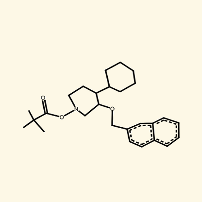 CC(C)(C)C(=O)ON1CCC(C2CCCCC2)C(OCc2ccc3ccccc3c2)C1